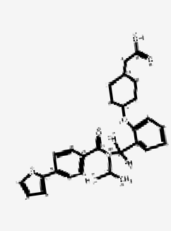 [2H]C([2H])(c1ccccc1OC1CCC(CC(=O)O)CC1)N(C(=O)c1ccc(-c2ccco2)cc1)C(C)C